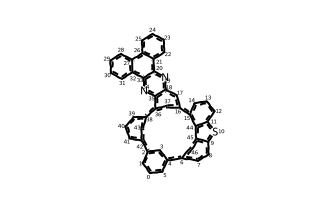 c1cc2cc(c1)c1ccc3sc4cccc(c5cc6nc7c8ccccc8c8ccccc8c7nc6c(c5)c5cccc2c5)c4c3c1